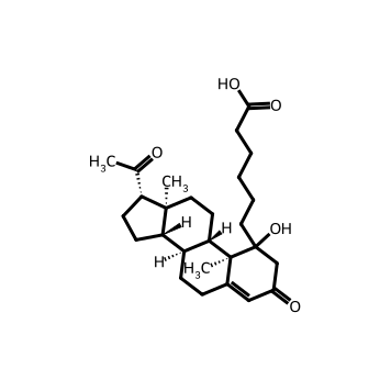 CC(=O)[C@H]1CC[C@H]2[C@@H]3CCC4=CC(=O)CC(O)(CCCCCC(=O)O)[C@]4(C)[C@H]3CC[C@]12C